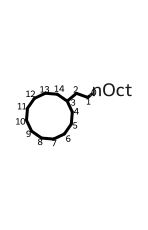 CCCCCCCCCCC1CCCCCCCCCCC1